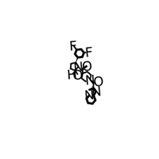 O=C(c1cn2ccccc2n1)N1CCC2(CC1)O[C@@H]1CC[C@@H](c3cc(F)cc(F)c3)N1C2=O